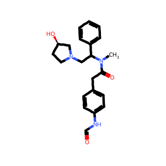 CN(C(=O)Cc1ccc(NC=O)cc1)C(CN1CC[C@@H](O)C1)c1ccccc1